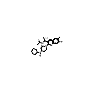 CC(=O)NC(=N)c1cc2cc(C)c(F)cc2nc1N1CCC(NC2CCCCC2)CC1